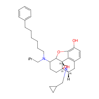 CC(C)CN(CCCCCCc1ccccc1)C1CC[C@@]2(O)[C@H]3Cc4ccc(O)c5c4[C@@]2(CCN3CC2CC2)C1O5